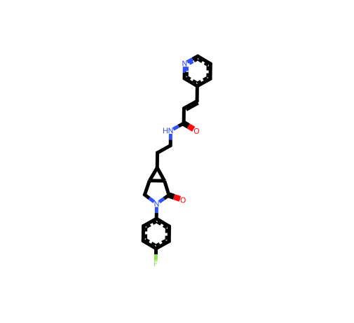 O=C(/C=C/c1cccnc1)NCCC1C2CN(c3ccc(F)cc3)C(=O)C12